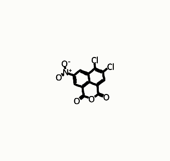 O=C1OC(=O)c2cc(Cl)c(Cl)c3cc([N+](=O)[O-])cc1c23